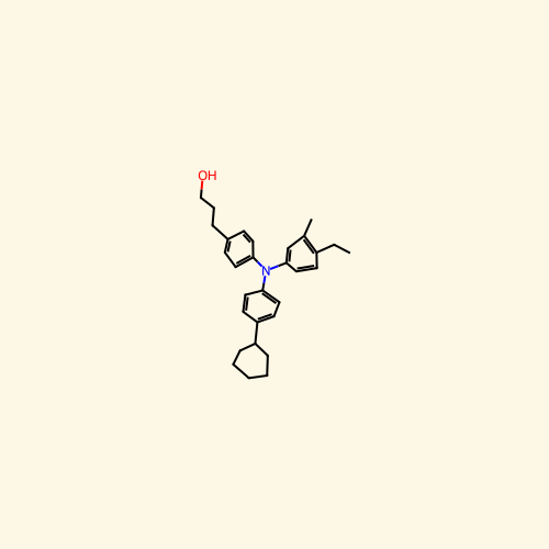 CCc1ccc(N(c2ccc(CCCO)cc2)c2ccc(C3CCCCC3)cc2)cc1C